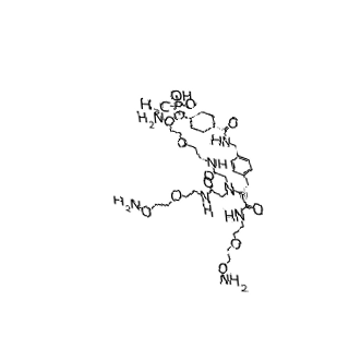 CP(=O)(O)O[C@H]1CC[C@H](C(=O)NCc2ccc(C[C@H](C(=O)NCCOCCON)N(CC(=O)NCCOCCON)CC(=O)NCCOCCON)cc2)CC1